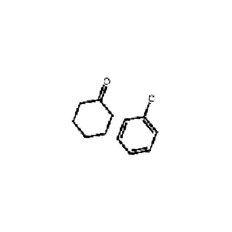 Clc1ccccc1.O=C1CCCCC1